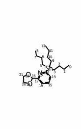 CCC[CH2][Sn]([CH2]CCC)([CH2]CCC)[c]1cccc(C2OCCO2)n1